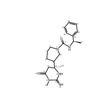 C[C@@H](NC(=O)N1CCCC([C@]2(C)CC(=O)N(C)C(=N)N2)C1)c1ccccc1